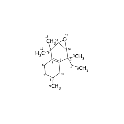 CCC1(C)C2=C(CCC(C)C2)C(C)(C)C2OC21